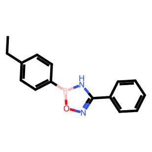 CCc1ccc(B2NC(c3ccccc3)=NO2)cc1